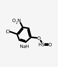 O=[SH]Oc1ccc(Cl)c([N+](=O)[O-])c1.[NaH]